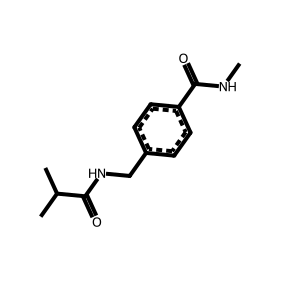 CNC(=O)c1ccc(CNC(=O)C(C)C)cc1